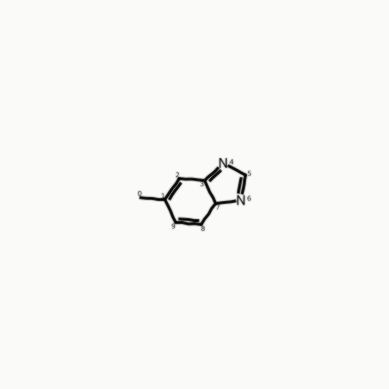 CC1=CC2=NC=NC2C=C1